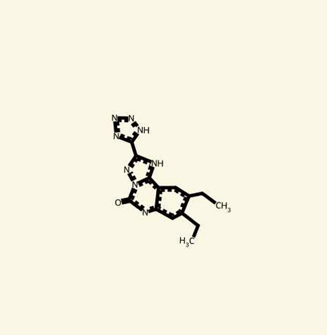 CCc1cc2nc(=O)n3nc(-c4nnn[nH]4)[nH]c3c2cc1CC